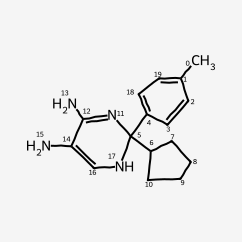 Cc1ccc(C2(C3CCCC3)N=C(N)C(N)=CN2)cc1